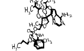 CCCOC(=O)[C@H](C)NP(=O)(OC[C@@]1(C)OC[C@@](OC(=O)C(C)C)(c2ccc3c(N)ncnn23)[C@@H]1OC(=O)C(C)C)Oc1ccccc1